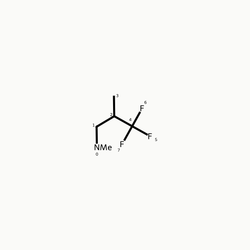 CNCC(C)C(F)(F)F